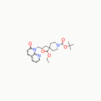 CCOC(=O)C1(CCCn2c(=O)ccc3cccnc32)CCN(C(=O)OC(C)(C)C)CC1